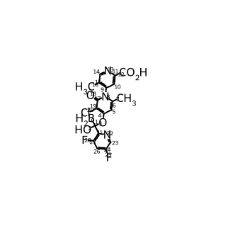 BC(O)(Oc1cc(C)n(-c2cc(C(=O)O)ncc2C)c(=O)c1Cl)c1ncc(F)cc1F